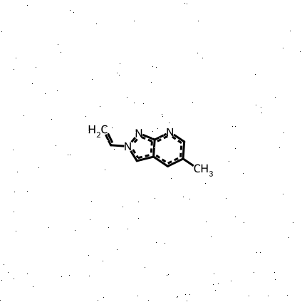 C=Cn1cc2cc(C)cnc2n1